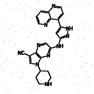 N#Cc1cn(C2CCNCC2)c2nc(Nc3cc(-c4ccnc5cccnc45)[nH]n3)cnc12